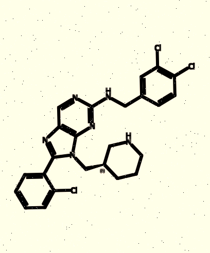 Clc1ccc(CNc2ncc3nc(-c4ccccc4Cl)n(C[C@@H]4CCCNC4)c3n2)cc1Cl